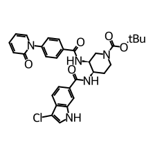 CC(C)(C)OC(=O)N1CC[C@@H](NC(=O)c2ccc3c(Cl)c[nH]c3c2)[C@@H](NC(=O)c2ccc(-n3ccccc3=O)cc2)C1